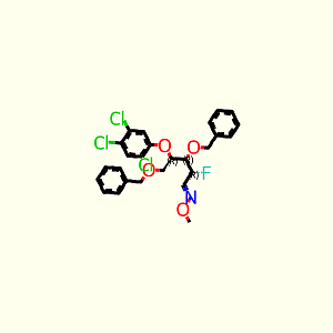 CON=C[C@@H](F)[C@H](OCc1ccccc1)[C@@H](COCc1ccccc1)Oc1cc(Cl)c(Cl)cc1Cl